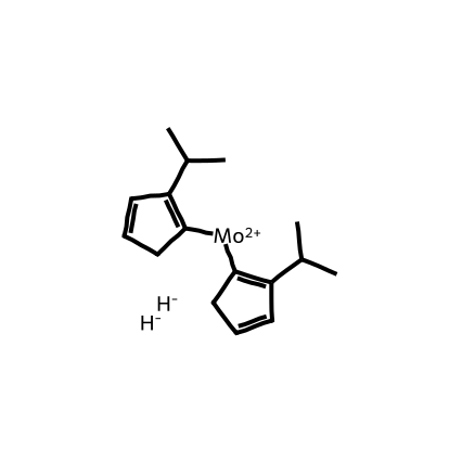 CC(C)C1=[C]([Mo+2][C]2=C(C(C)C)C=CC2)CC=C1.[H-].[H-]